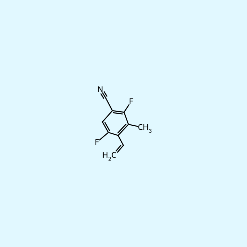 C=Cc1c(F)cc(C#N)c(F)c1C